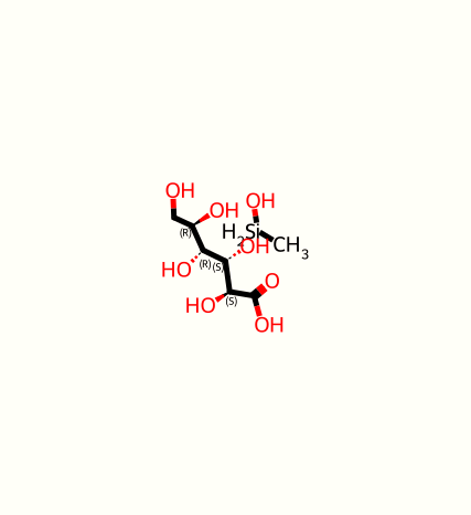 C[SiH2]O.O=C(O)[C@@H](O)[C@@H](O)[C@H](O)[C@H](O)CO